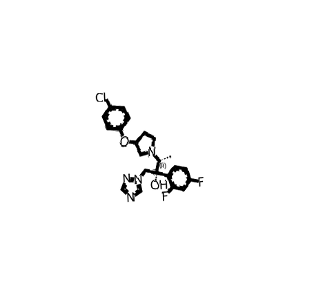 C[C@@H](N1CCC(Oc2ccc(Cl)cc2)C1)[C@](O)(Cn1cncn1)c1ccc(F)cc1F